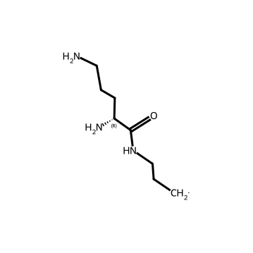 [CH2]CCNC(=O)[C@H](N)CCCN